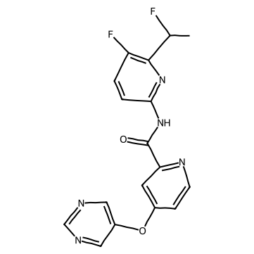 CC(F)c1nc(NC(=O)c2cc(Oc3cncnc3)ccn2)ccc1F